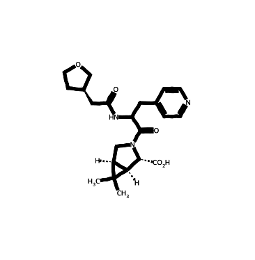 CC1(C)[C@@H]2[C@@H](C(=O)O)N(C(=O)C(Cc3ccncc3)NC(=O)C[C@H]3CCOC3)C[C@@H]21